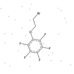 Fc1c(F)c(F)c(OCCBr)c(F)c1F